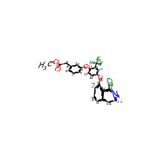 COC(=O)Cc1cccc(Oc2ccc(Oc3cccc4ccnc(Cl)c34)cc2C(F)(F)F)c1